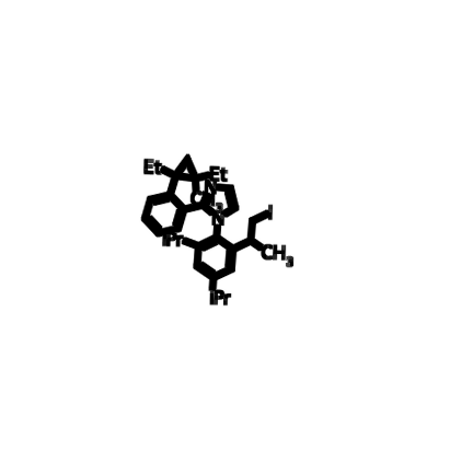 CCC1(C)CC1(CC)c1ccccc1-c1nccn1-c1c(C(C)C)cc(C(C)C)cc1C(C)CI